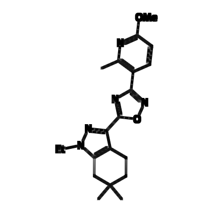 CCn1nc(-c2nc(-c3ccc(OC)nc3C)no2)c2c1CC(C)(C)CC2